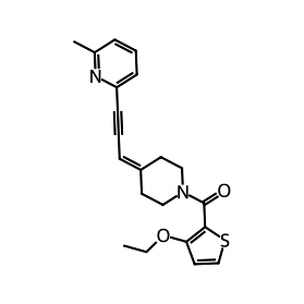 CCOc1ccsc1C(=O)N1CCC(=CC#Cc2cccc(C)n2)CC1